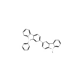 Cn1c2ccccc2c2cc(-c3ccc4c5ccccc5n(-c5ccccc5)c4c3)ccc21